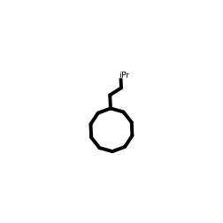 CC(C)CC[C]1CCCCCCCCC1